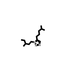 CCC(C)CCn1nncc1CCCC(C)C